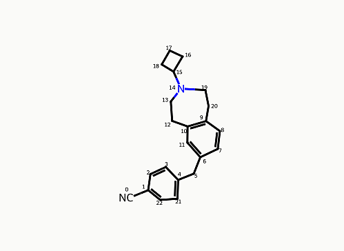 N#Cc1ccc(Cc2ccc3c(c2)CCN(C2CCC2)CC3)cc1